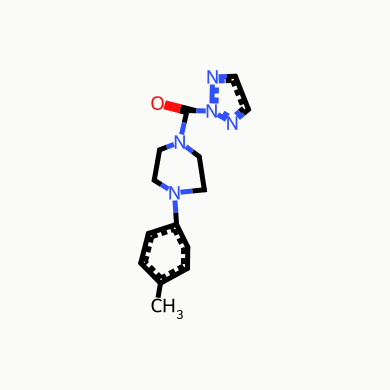 Cc1ccc(N2CCN(C(=O)n3nccn3)CC2)cc1